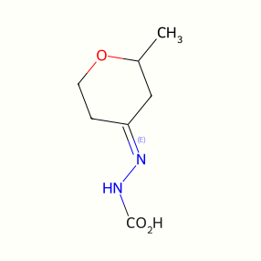 CC1C/C(=N/NC(=O)O)CCO1